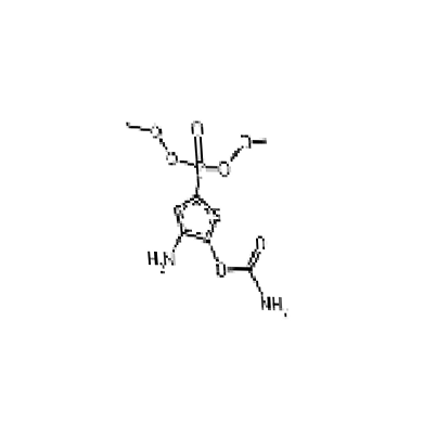 COOP(=O)(OOC)c1cc(N)c(OC(N)=O)s1